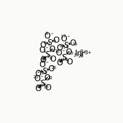 O=S(=O)([O-])OS(=O)(=O)[O-].O=S(=O)([O-])OS(=O)(=O)[O-].O=S(=O)([O-])OS(=O)(=O)[O-].[Ir+3].[Ir+3]